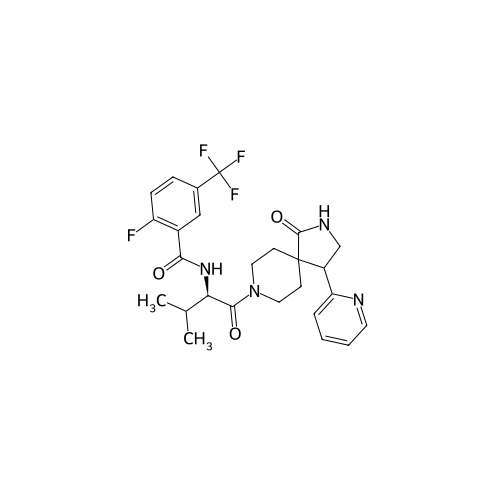 CC(C)[C@@H](NC(=O)c1cc(C(F)(F)F)ccc1F)C(=O)N1CCC2(CC1)C(=O)NCC2c1ccccn1